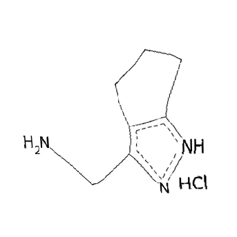 Cl.NCc1n[nH]c2c1CCC2